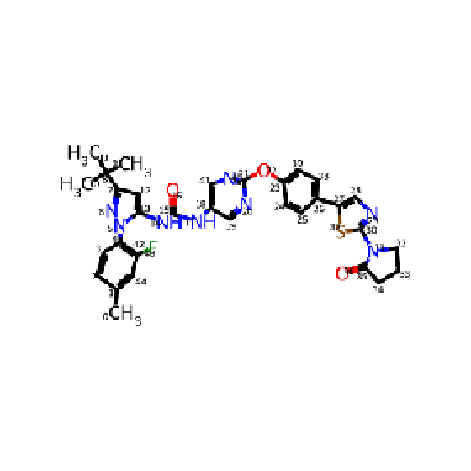 Cc1ccc(-n2nc(C(C)(C)C)cc2NC(=O)Nc2cnc(Oc3ccc(-c4cnc(N5CCCC5=O)s4)cc3)nc2)c(F)c1